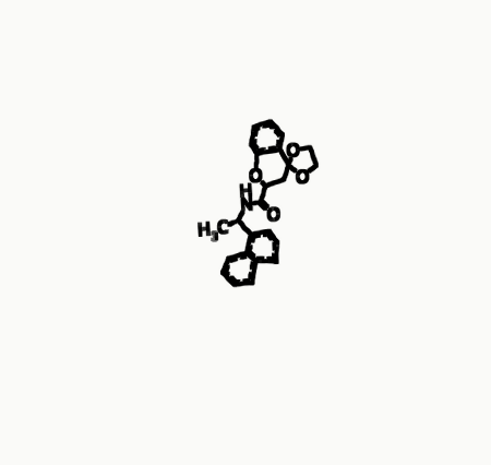 C[C@@H](NC(=O)C1CC2(OCCO2)c2ccccc2O1)c1cccc2ccccc12